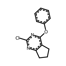 Clc1nc2c(c(Oc3ccccc3)n1)CCC2